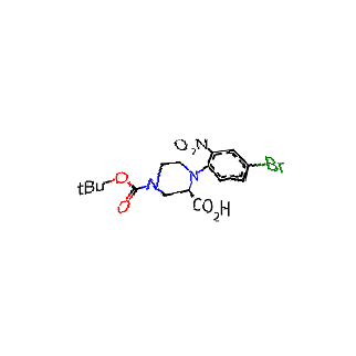 CC(C)(C)OC(=O)N1CCN(c2ccc(Br)cc2[N+](=O)[O-])[C@@H](C(=O)O)C1